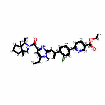 C=C(/C=C1/N=C(C(=O)N2CC3(C)CCCC3(C)C2C)C=C(CC)N1C)c1ccc(-c2ccc(C(=O)OCC)cn2)cc1F